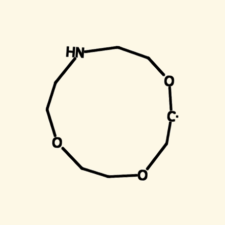 [CH]1COCCOCCNCCO1